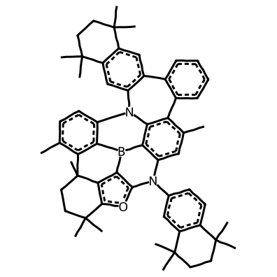 Cc1cc2c3c4c1-c1ccccc1-c1cc5c(cc1N4c1ccc(C)c4c1B3c1c(oc3c1C4(C)CCC3(C)C)N2c1ccc2c(c1)C(C)(C)CCC2(C)C)C(C)(C)CCC5(C)C